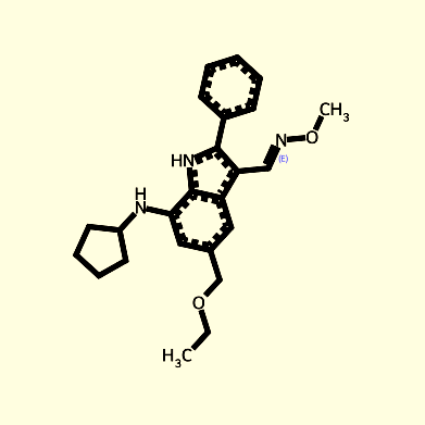 CCOCc1cc(NC2CCCC2)c2[nH]c(-c3ccccc3)c(/C=N/OC)c2c1